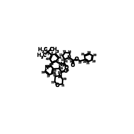 CC(C)(C)c1ccc(N(C(=O)[C@H]2CCCN2C(=O)OCc2ccccc2)C(C(=O)N2CCOCC2)c2cccnc2)cc1